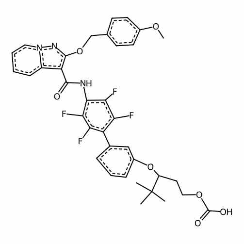 COc1ccc(COc2nn3ccccc3c2C(=O)Nc2c(F)c(F)c(-c3cccc(OC(CCOC(=O)O)C(C)(C)C)c3)c(F)c2F)cc1